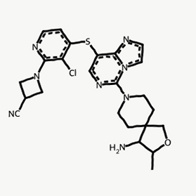 CC1OCC2(CCN(c3ncc(Sc4ccnc(N5CC(C#N)C5)c4Cl)c4nccn34)CC2)C1N